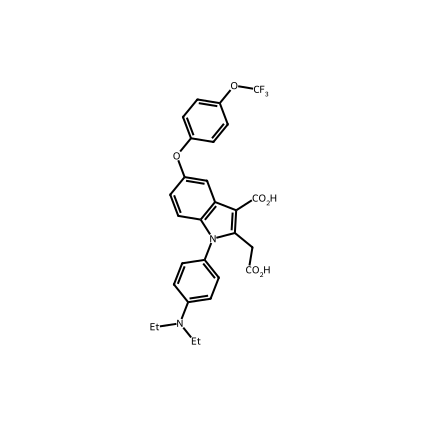 CCN(CC)c1ccc(-n2c(CC(=O)O)c(C(=O)O)c3cc(Oc4ccc(OC(F)(F)F)cc4)ccc32)cc1